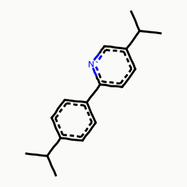 CC(C)c1ccc(-c2ccc(C(C)C)cn2)cc1